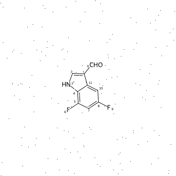 O=Cc1c[nH]c2c(F)cc(F)cc12